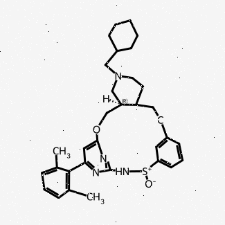 Cc1cccc(C)c1-c1cc2nc(n1)N[S+]([O-])c1cccc(c1)CCC1CCN(CC3CCCCC3)C[C@@H]1CO2